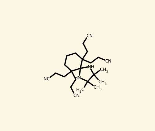 CC1(C)NC2(NC1(C)C)C(CCC#N)(CCC#N)CCCC2(CCC#N)CCC#N